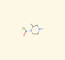 CC1CN(C)CCN1C(=O)Cl